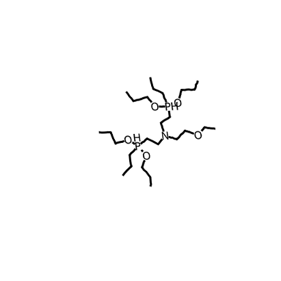 CCCO[PH](CCC)(CCN(CCOCC)CC[PH](CCC)(OCCC)OCCC)OCCC